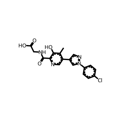 Cc1c(-c2cnn(-c3ccc(Cl)cc3)c2)cnc(C(=O)NCC(=O)O)c1O